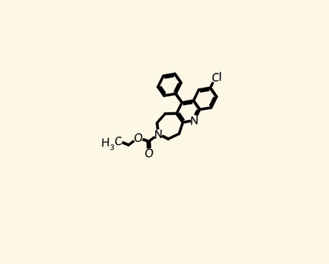 CCOC(=O)N1CCc2nc3ccc(Cl)cc3c(-c3ccccc3)c2CC1